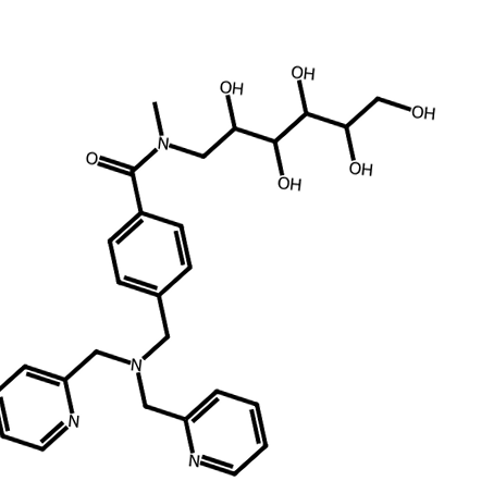 CN(CC(O)C(O)C(O)C(O)CO)C(=O)c1ccc(CN(Cc2ccccn2)Cc2ccccn2)cc1